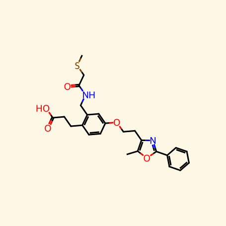 CSCC(=O)NCc1cc(OCCc2nc(-c3ccccc3)oc2C)ccc1CCC(=O)O